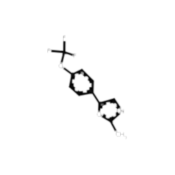 Cc1ncc(-c2ccc(OC(F)(F)F)cc2)o1